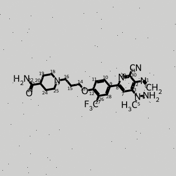 C=Nc1c(N(C)N)cc(-c2ccc(OCCCN3CCC(C(N)=O)CC3)c(C(F)(F)F)c2)nc1C#N